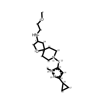 COCCNC1COC2(CCN(Sc3cc(C4CC4)nn3C)CC2)C1